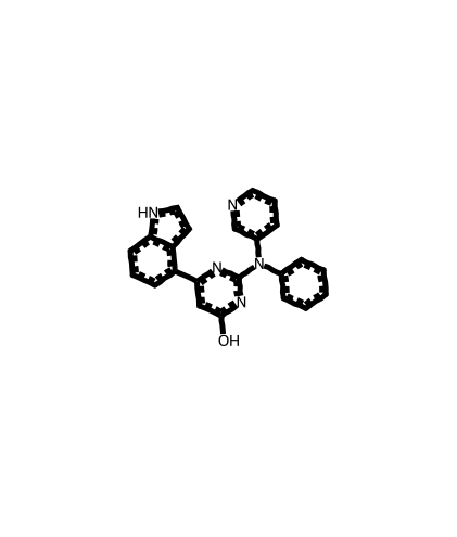 Oc1cc(-c2cccc3[nH]ccc23)nc(N(c2ccccc2)c2cccnc2)n1